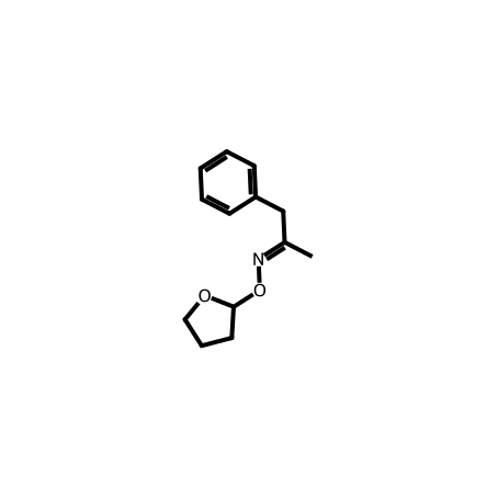 CC(Cc1ccccc1)=NOC1CCCO1